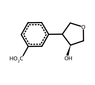 O=C(O)c1cccc(C2COC[C@H]2O)c1